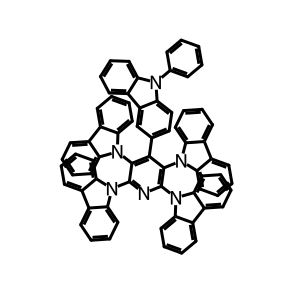 c1ccc(-n2c3ccccc3c3cc(-c4c(-n5c6ccccc6c6ccccc65)c(-n5c6ccccc6c6ccccc65)nc(-n5c6ccccc6c6ccccc65)c4-n4c5ccccc5c5ccccc54)ccc32)cc1